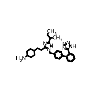 CCC(C)c1nc(CCC2CCC(N)CC2)n(Cc2ccc(-c3ccccc3-c3nnn[nH]3)cc2)n1